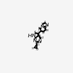 c1cn2nc(-c3c[nH]c4nc(C5CC5)ncc34)ccc2n1